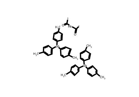 Cc1cc[c]([Sb]([c]2ccc(C)cc2)[c]2ccc(C)cc2)cc1.Cc1cc[c]([Sb]([c]2ccc(C)cc2)[c]2ccc(C)cc2)cc1.O=[C](I)[IrH][C](=O)I